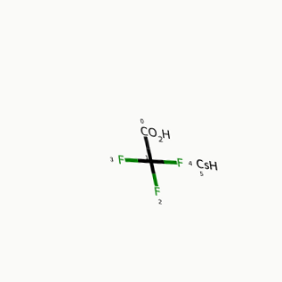 O=C(O)C(F)(F)F.[CsH]